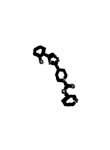 O=C(Oc1cccnc1)N1CCC(c2nc(-c3ccccc3Cl)cs2)CC1